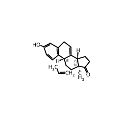 C=CC.C[C@]12CC[C@H]3C(=CCc4cc(O)ccc43)[C@@H]1CCC2=O